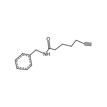 C#CCCCCC(=O)NCc1ccccc1